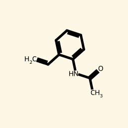 C=Cc1ccccc1NC(C)=O